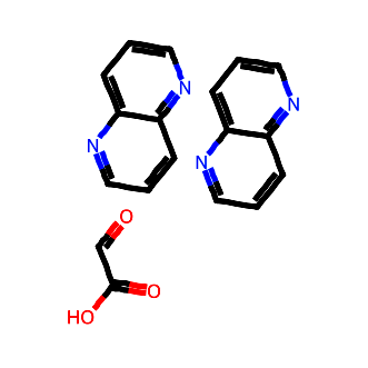 O=CC(=O)O.c1cnc2cccnc2c1.c1cnc2cccnc2c1